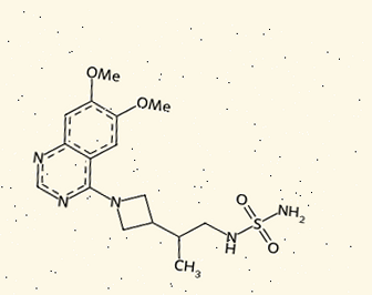 COc1cc2ncnc(N3CC(C(C)CNS(N)(=O)=O)C3)c2cc1OC